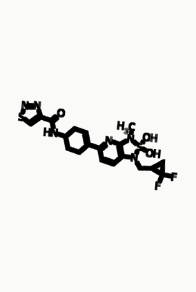 CN1c2nc(C3=CCC(NC(=O)c4csnn4)CC3)ccc2N(CC2CC2(F)F)S1(O)O